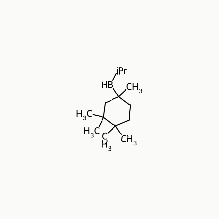 CC(C)BC1(C)CCC(C)(C)C(C)(C)C1